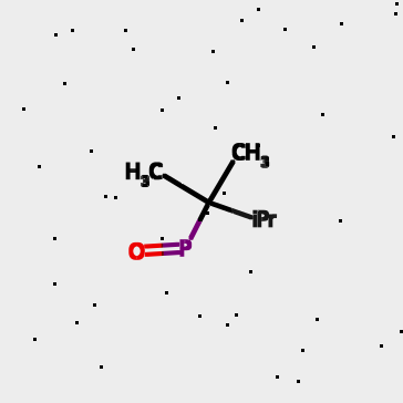 CC(C)C(C)(C)P=O